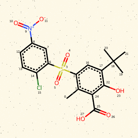 Cc1c(S(=O)(=O)c2cc([N+](=O)[O-])ccc2Cl)cc(C(C)(C)C)c(O)c1C(=O)O